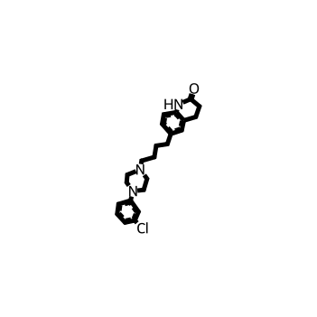 O=C1CCc2cc(CCCCN3CCN(c4cccc(Cl)c4)CC3)ccc2N1